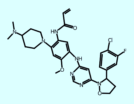 C=CC(=O)Nc1cc(Nc2cc(N3OCCC3c3ccc(Cl)c(F)c3)ncn2)c(OC)cc1N1CCC(N(C)C)CC1